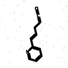 O=C=CCC=Cc1ccccn1